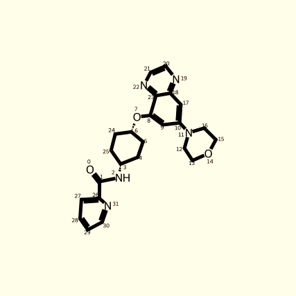 O=C(N[C@H]1CC[C@@H](Oc2cc(N3CCOCC3)cc3nccnc23)CC1)c1ccccn1